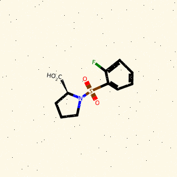 O=C(O)[C@@H]1CCCN1S(=O)(=O)c1ccccc1F